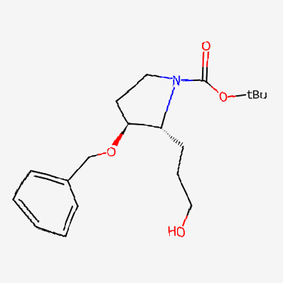 CC(C)(C)OC(=O)N1CC[C@H](OCc2ccccc2)[C@H]1CCCO